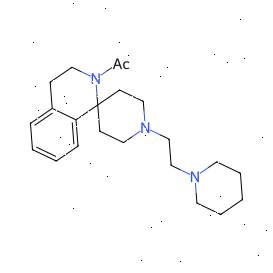 CC(=O)N1CCc2ccccc2C12CCN(CCN1CCCCC1)CC2